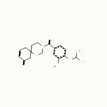 COc1cc(C(=O)N2CCC3(CC=CC(=O)C3)OC2)ccc1OC(C)C